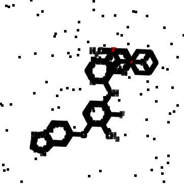 C=CC(=O)N1CC2CC(C1)N2c1ccc2ncnc(Nc3ccc(Oc4ccn5ncnc5c4)c(C)c3F)c2n1